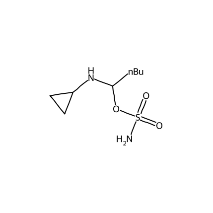 CCCCC(NC1CC1)OS(N)(=O)=O